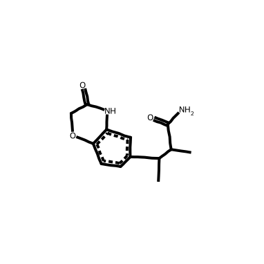 CC(C(N)=O)C(C)c1ccc2c(c1)NC(=O)CO2